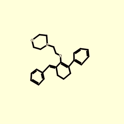 C(=C1CCCC(c2ccccc2)=C1OCCN1CCOCC1)c1ccccc1